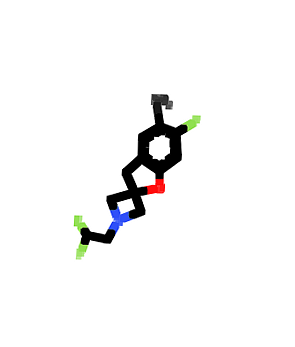 O=[N+]([O-])c1cc2c(cc1F)OC1(C2)CN(CC(F)F)C1